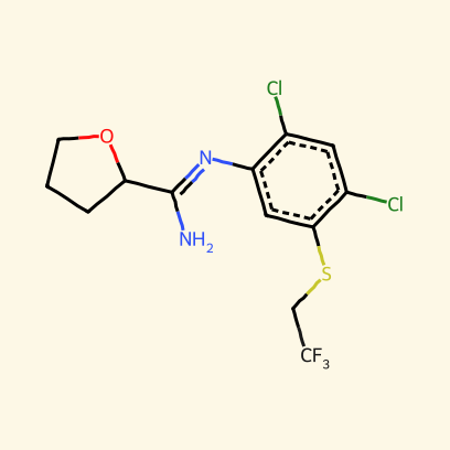 N/C(=N\c1cc(SCC(F)(F)F)c(Cl)cc1Cl)C1CCCO1